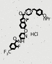 CCCOc1ccc(CN2CCN(C(=O)c3cc4ccc(Oc5ccc(NC(=O)c6ccc(C(F)(F)F)cc6F)cn5)cc4n3C)CC2)cc1.Cl